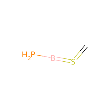 C=S=BP